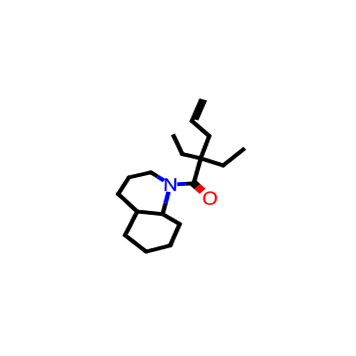 C=CCC(CC)(CC)C(=O)N1CCCC2CCCCC21